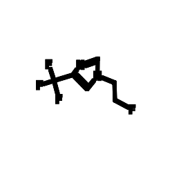 FCCn1cnc(C(F)(F)F)c1